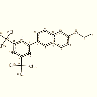 CCOc1ccc2cc(-c3nc(C(Cl)(Cl)Cl)nc(C(Cl)(Cl)Cl)n3)ccc2c1